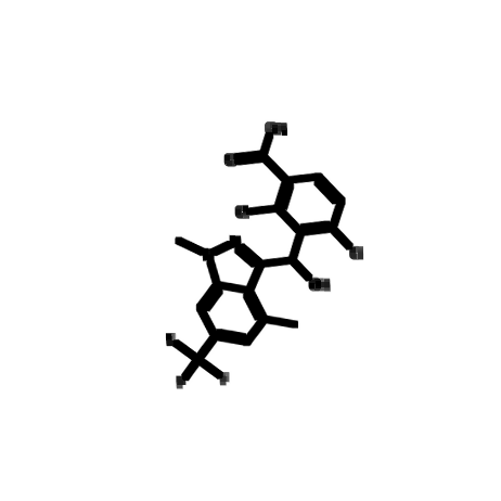 Cc1cc(C(F)(F)F)cc2c1c(C(O)c1c(Cl)ccc(C(=O)O)c1Cl)nn2C